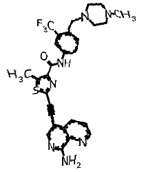 Cc1sc(C#Cc2cnc(N)c3ncccc23)nc1C(=O)Nc1ccc(CN2CCN(C)CC2)c(C(F)(F)F)c1